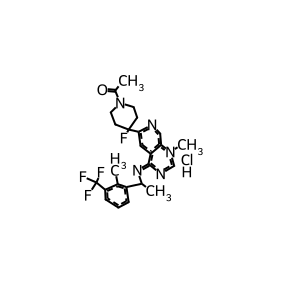 CC(=O)N1CCC(F)(c2cc3/c(=N/C(C)c4cccc(C(F)(F)F)c4C)ncn(C)c3cn2)CC1.Cl